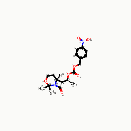 C[C@H](OC(=O)OCc1ccc([N+](=O)[O-])cc1)[C@@H]1C(=O)N2[C@@H]1CCOC2(C)C